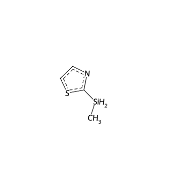 C[SiH2]c1nccs1